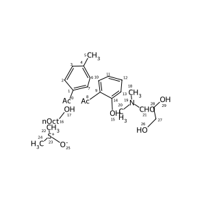 CC(=O)c1ccc(C)cc1.CC(=O)c1ccccc1O.CCCCCCCCO.CN(C)C=O.C[S+](C)[O-].OCCO